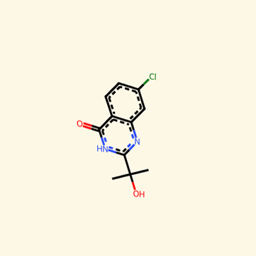 CC(C)(O)c1nc2cc(Cl)ccc2c(=O)[nH]1